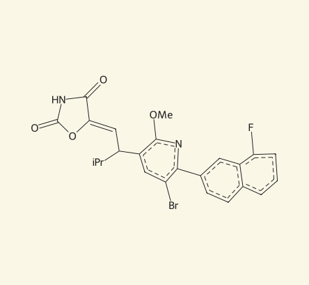 COc1nc(-c2ccc3cccc(F)c3c2)c(Br)cc1C(C=C1OC(=O)NC1=O)C(C)C